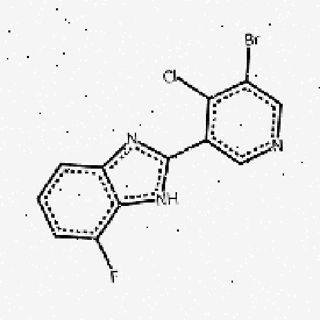 Fc1cccc2nc(-c3cncc(Br)c3Cl)[nH]c12